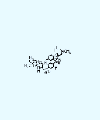 CN1CC(c2nnc(-c3cc4c(cc3F)S(=O)(=O)C[C@H](NC(=O)OC(C)(C)C)C(=O)N4Cc3ccc(Cl)cc3)o2)CC(F)(F)C1